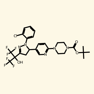 CC(C)(C)OC(=O)N1CCN(c2ccc(C3CC(C(O)(C(F)(F)F)C(F)(F)F)=NN3c3ccccc3Cl)cn2)CC1